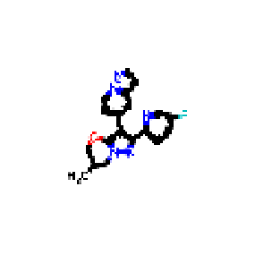 CC1COc2c(-c3ccn4nccc4c3)c(-c3ccc(F)cn3)nn2C1